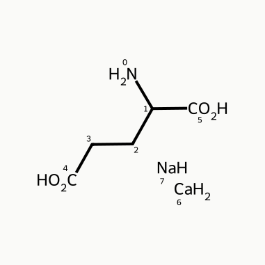 NC(CCC(=O)O)C(=O)O.[CaH2].[NaH]